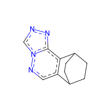 c1nn2cnnc2c2c1C1CCC2CC1